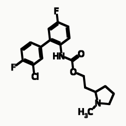 CN1CCCC1CCOC(=O)Nc1ccc(F)cc1-c1ccc(F)c(Cl)c1